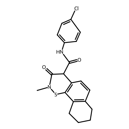 CN1Sc2c(ccc3c2CCCC3)C(C(=O)Nc2ccc(Cl)cc2)C1=O